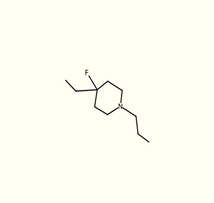 CCCN1CCC(F)(CC)CC1